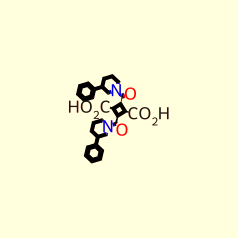 O=C(O)[C@H]1[C@H](C(=O)N2CCCC(c3ccccc3)C2)[C@H](C(=O)O)[C@H]1C(=O)N1CCCC(c2ccccc2)C1